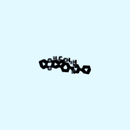 CC1(C)c2cc(C3=NC=C(c4ccccc4)CN3)ccc2-c2cc3c(cc21)Oc1ccccc1O3